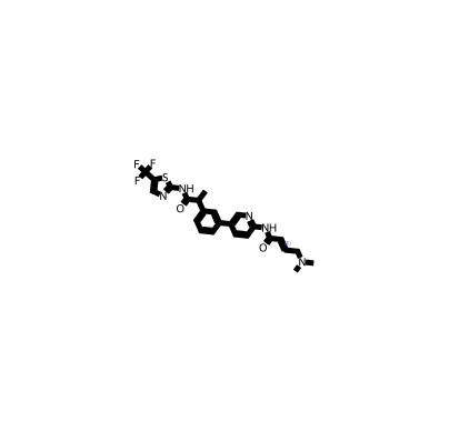 CC(C(=O)Nc1ncc(C(F)(F)F)s1)c1cccc(-c2ccc(NC(=O)/C=C/CN(C)C)nc2)c1